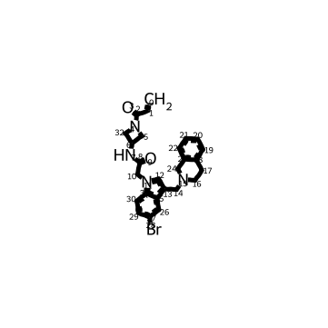 C=CC(=O)N1CC(NC(=O)Cn2cc(CN3CCc4ccccc4C3)c3cc(Br)ccc32)C1